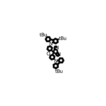 CC(C)(C)c1ccc2c(c1)c1ccccc1n2-c1ccc2c(c1)C1(c3cc(-n4c5ccc(C(C)(C)C)cc5c5cc(C(C)(C)C)ccc54)ccc3O2)c2cccnc2-c2ncccc21